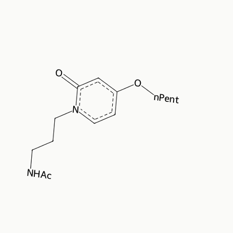 CCCCCOc1ccn(CCCNC(C)=O)c(=O)c1